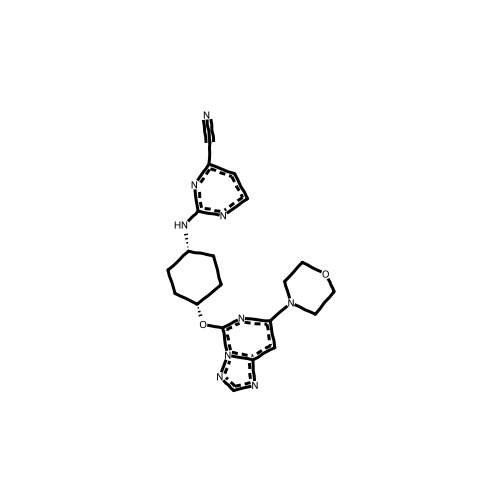 N#Cc1ccnc(N[C@H]2CC[C@@H](Oc3nc(N4CCOCC4)cc4ncnn34)CC2)n1